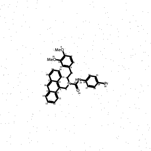 COc1ccc(CCN(Cc2c3ccccc3cc3ccccc23)C(=O)Nc2ccc(C(C)C)cc2)cc1OC